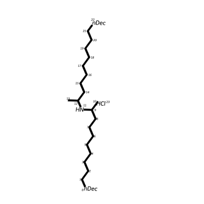 CCCCCCCCCCCCCCCCCCC(C)NC(C)CCCCCCCCCCCCCCCCCC.Cl